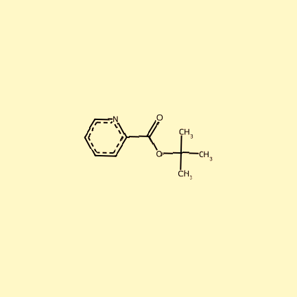 CC(C)(C)OC(=O)c1ccccn1